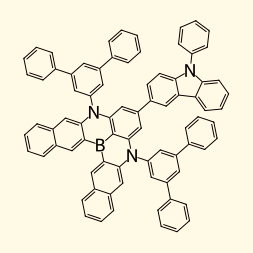 c1ccc(-c2cc(-c3ccccc3)cc(N3c4cc5ccccc5cc4B4c5cc6ccccc6cc5N(c5cc(-c6ccccc6)cc(-c6ccccc6)c5)c5cc(-c6ccc7c(c6)c6ccccc6n7-c6ccccc6)cc3c54)c2)cc1